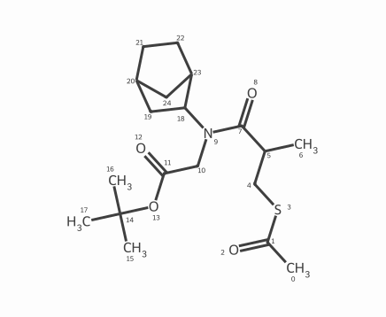 CC(=O)SCC(C)C(=O)N(CC(=O)OC(C)(C)C)C1CC2CCC1C2